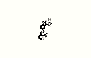 CNC(=O)c1c(C)sc2ccc(OCc3cccnc3C(F)(F)F)cc12